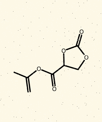 C=C(C)OC(=O)C1COC(=O)O1